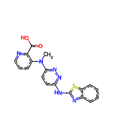 CN(c1ccc(Nc2nc3ccccc3s2)nn1)c1cccnc1C(=O)O